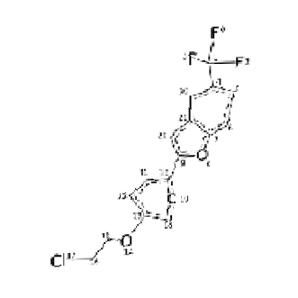 FC(F)(F)c1ccc2oc(-c3ccc(OCCCl)cc3)cc2c1